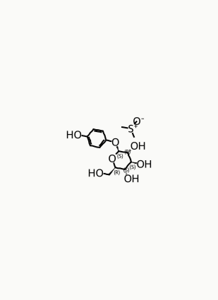 C[S+](C)[O-].OC[C@H]1O[C@@H](Oc2ccc(O)cc2)[C@H](O)[C@@H](O)[C@@H]1O